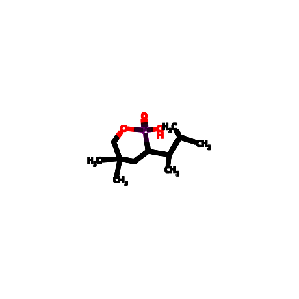 CC(C)C(C)C1CC(C)(C)COP1(=O)O